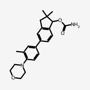 Cc1cc(-c2ccc3c(c2)CC(C)(C)C3OC(N)=O)ccc1N1CCOCC1